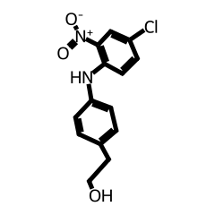 O=[N+]([O-])c1cc(Cl)ccc1Nc1ccc(CCO)cc1